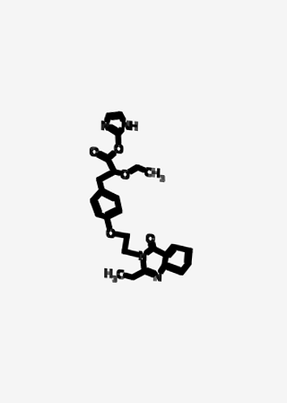 CCOC(Cc1ccc(OCCn2c(CC)nc3ccccc3c2=O)cc1)C(=O)Oc1ncc[nH]1